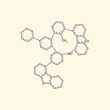 Cc1c2cccc1-c1cccc3oc4cccc(c4c13)Nc1ccc(-c3cccc4sc5ccccc5c34)cc1-c1ccc(-c3ccccc3)cc1-2